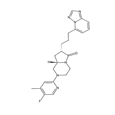 Cc1cc(N2CCN3C(=O)[C@@H](CCCc4cccc5ncnn45)C[C@H]3C2)ncc1F